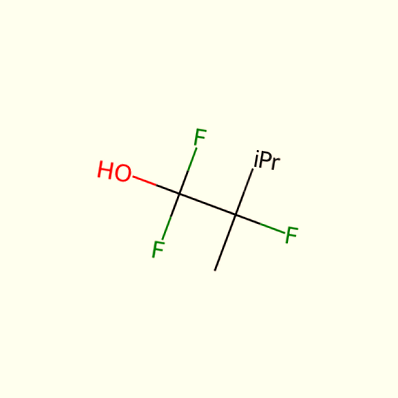 CC(C)C(C)(F)C(O)(F)F